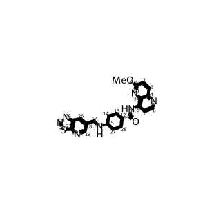 COc1ccc2nccc(NC(=O)[C@H]3CC[C@H](NCc4cnc5snnc5c4)CC3)c2n1